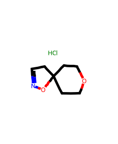 C1=NOC2(C1)CCOCC2.Cl